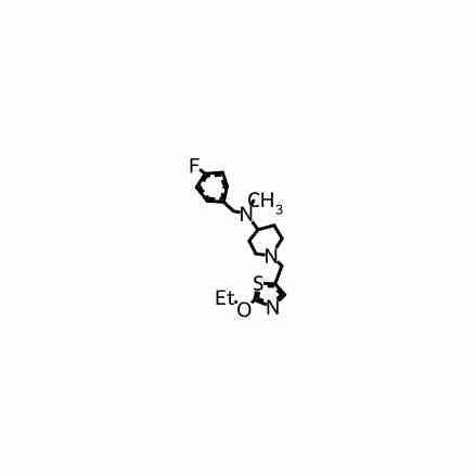 CCOc1ncc(CN2CCC(N(C)Cc3ccc(F)cc3)CC2)s1